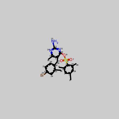 Cc1cc(C)c(S(=O)(=O)Oc2nc(N)nc(C)c2Cc2ccc(Br)cc2C)c(C)c1